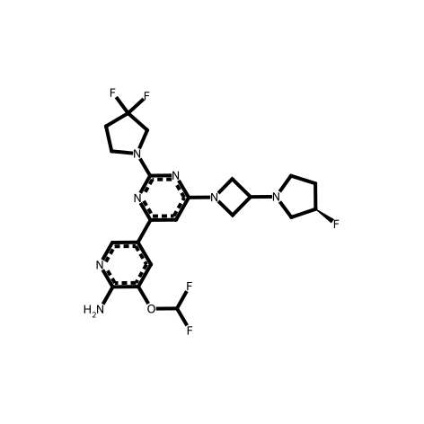 Nc1ncc(-c2cc(N3CC(N4CC[C@@H](F)C4)C3)nc(N3CCC(F)(F)C3)n2)cc1OC(F)F